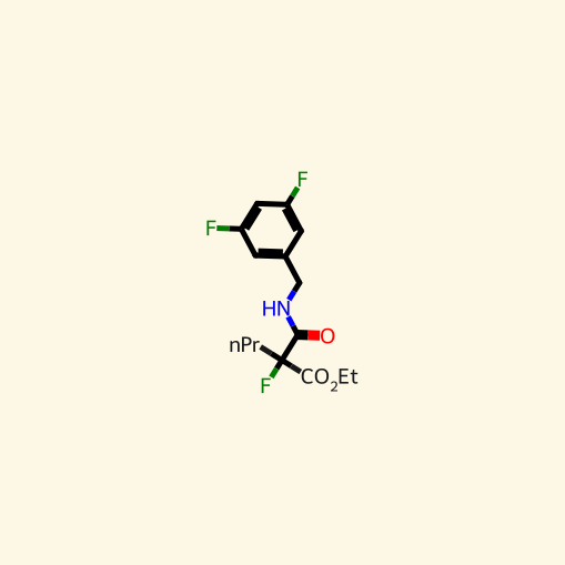 CCCC(F)(C(=O)NCc1cc(F)cc(F)c1)C(=O)OCC